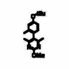 COc1nc(C)c(-c2ccc(OC(C)(C)C)cc2C)c(C)n1